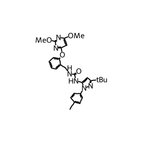 COc1cc(Oc2ccccc2CNC(=O)Nc2cc(C(C)(C)C)nn2-c2ccc(C)cc2)nc(OC)n1